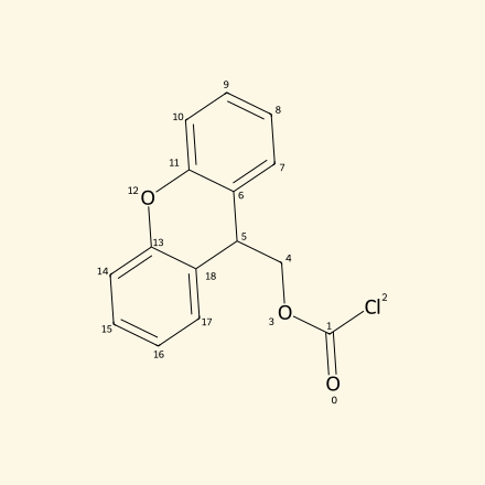 O=C(Cl)OCC1c2ccccc2Oc2ccccc21